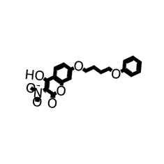 O=c1oc2cc(OCCCCOc3ccccc3)ccc2c(O)c1[N+](=O)[O-]